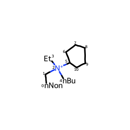 CCCCCCCCCC[N+](CC)(CCCC)C1CCCCC1